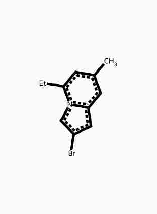 CCc1cc(C)cc2cc(Br)cn12